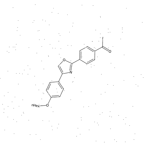 CCCCCCOc1ccc(-c2coc(-c3ccc(C(=O)I)cc3)n2)cc1